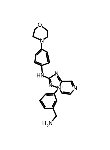 NCc1cccc([N+]23C=CN=CC2=NC(Nc2ccc(N4CCOCC4)cc2)=N3)c1